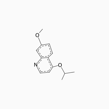 COc1ccc2c(OC(C)C)ccnc2c1